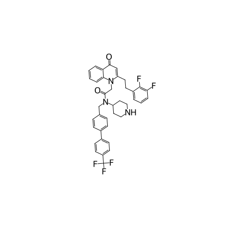 O=C(Cn1c(CCc2cccc(F)c2F)cc(=O)c2ccccc21)N(Cc1ccc(-c2ccc(C(F)(F)F)cc2)cc1)C1CCNCC1